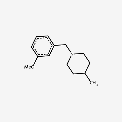 COc1cccc(CN2CCC(C)CC2)c1